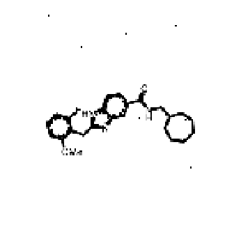 COc1cccc(F)c1Cc1nc2cc(C(=O)NCC3CCCCCC3)ccc2[nH]1